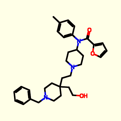 Cc1ccc(N(C(=O)c2ccco2)C2CCN(CCC3(CCO)CCN(Cc4ccccc4)CC3)CC2)cc1